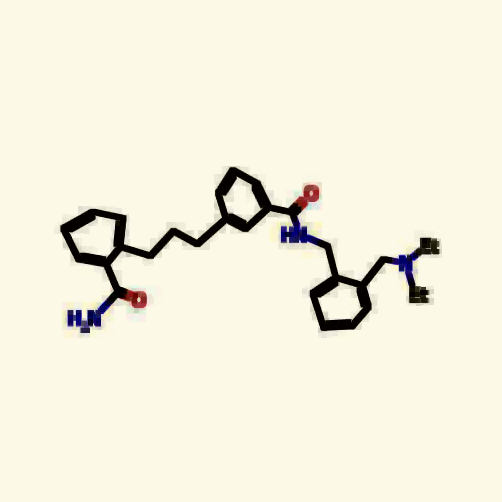 CCN(CC)Cc1ccccc1CNC(=O)c1cccc(CCCc2ccccc2C(N)=O)c1